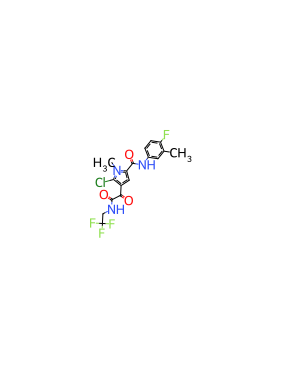 Cc1cc(NC(=O)c2cc(C(=O)C(=O)NCC(F)(F)F)c(Cl)n2C)ccc1F